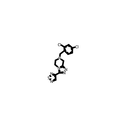 Clc1ccc(CN2CCn3c(nnc3-c3cnsn3)C2)c(Cl)c1